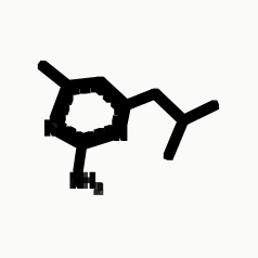 Cc1cc(CC(C)C)nc(N)n1